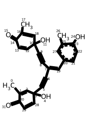 CC1=CC(O)(C#CC(C#CC2(O)C=CC(=O)C(C)=C2)=Cc2ccc(O)c(C)c2)C=CC1=O